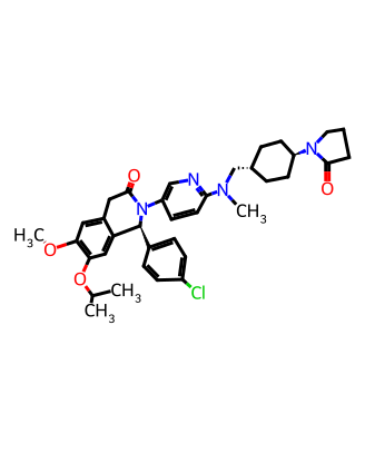 COc1cc2c(cc1OC(C)C)[C@H](c1ccc(Cl)cc1)N(c1ccc(N(C)C[C@H]3CC[C@H](N4CCCC4=O)CC3)nc1)C(=O)C2